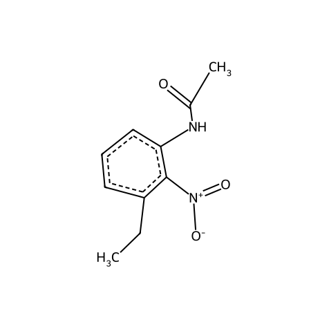 CCc1cccc(NC(C)=O)c1[N+](=O)[O-]